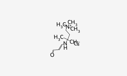 CC(C)(CC[N+](C)(C)C)NC=CC=O.[Cl-]